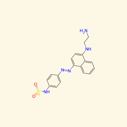 NCCNc1ccc(N=Nc2ccc(N[SH](=O)=O)cc2)c2ccccc12